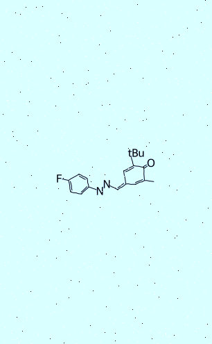 CC1=CC(=CN=Nc2ccc(F)cc2)C=C(C(C)(C)C)C1=O